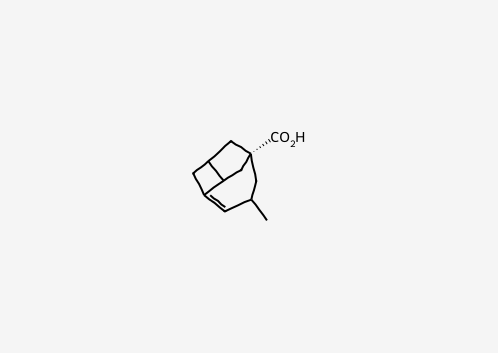 CC1C=C2CC3C[C@@](C(=O)O)(C1)CC23